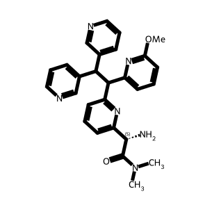 COc1cccc(C(c2cccc([C@H](N)C(=O)N(C)C)n2)C(c2cccnc2)c2cccnc2)n1